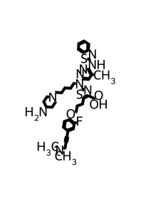 Cc1cc(N(CCCCCN2CCC(N)CC2)c2nc(C(=O)O)c(CCCOc3ccc(C#CCN(C)C)cc3F)s2)nnc1Nc1nc2ccccc2s1